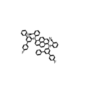 N#Cc1ccccc1N(c1cc(-c2ccccc2)cc(-c2ccc(F)cc2)c1)c1ccc2ccc3c(N(c4cc(-c5ccccc5)cc(-c5ccc(F)cc5)c4)c4ccccc4C#N)ccc4ccc1c2c43